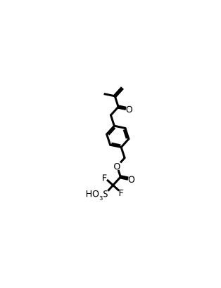 C=C(C)C(=O)Cc1ccc(COC(=O)C(F)(F)S(=O)(=O)O)cc1